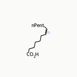 CCCCC/C=C\CCCCCC(=O)O